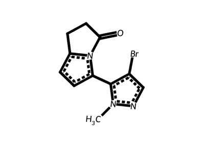 Cn1ncc(Br)c1-c1ccc2n1C(=O)CC2